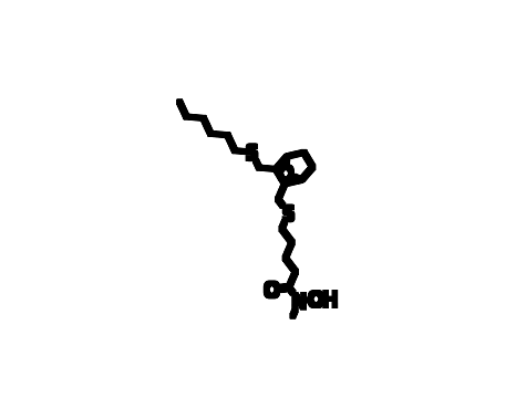 CCCCCCSCC1C2CCC(O2)C1CSCCCCC(=O)N(C)O